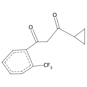 O=C(CC(=O)C1CC1)c1ccccc1C(F)(F)F